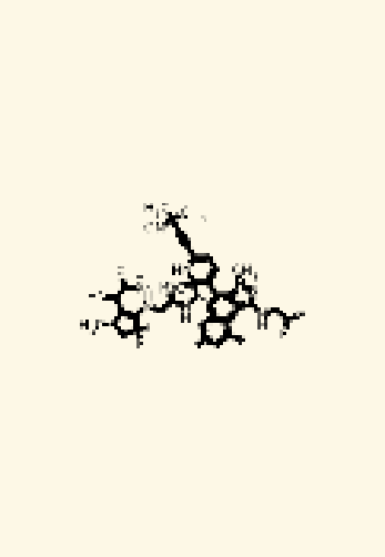 C[C@H]1CC(F)(F)C(NCC(=O)N[C@@H](Cc2cc(F)cc(F)c2)C2(C)NC(C#CC(C)(C)N=O)=CC=C2c2cccc3c(NCC(F)F)nn(C)c23)=C1C(=N)C(F)P